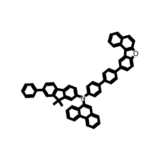 CC1(C)c2cc(-c3ccccc3)ccc2-c2ccc(N(c3ccc(-c4ccc(-c5ccc6oc7ccc8ccccc8c7c6c5)cc4)cc3)c3cc4ccccc4c4ccccc34)cc21